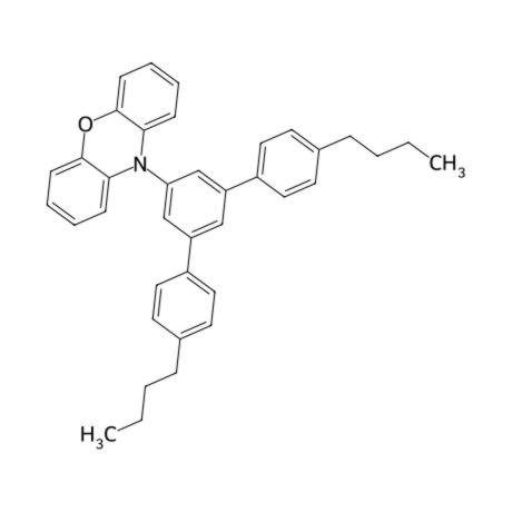 CCCCc1ccc(-c2cc(-c3ccc(CCCC)cc3)cc(N3c4ccccc4Oc4ccccc43)c2)cc1